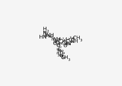 Cc1cc2cn(-c3ccc(C(=O)NCCCNC(=N)N)c(OCCN4CCN(C)CC4)c3)c(=O)nc2[nH]1